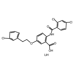 O=C(Nc1ccc(OCCc2cccc(Cl)c2)cc1C(=O)O)c1ccc(Cl)cc1Cl.[LiH]